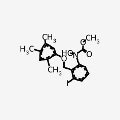 COC(=O)N(O)c1cccc(I)c1COc1cc(C)c(C)cc1C